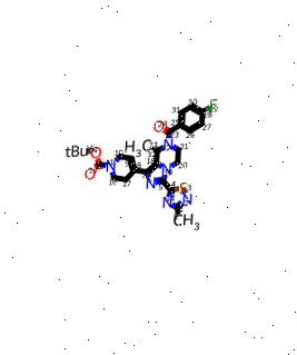 Cc1nsc(-c2nc(C3=CCN(C(=O)OC(C)(C)C)CC3)c3n2CCN(C(=O)c2ccc(F)cc2)[C@@H]3C)n1